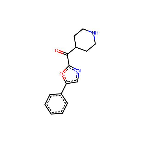 O=C(c1ncc(-c2ccccc2)o1)C1CCNCC1